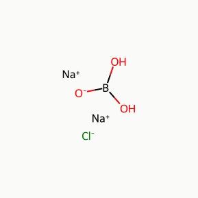 [Cl-].[Na+].[Na+].[O-]B(O)O